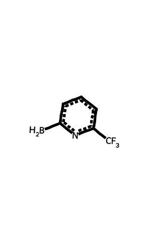 Bc1cccc(C(F)(F)F)n1